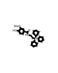 COc1cc(C(=O)NCC[PH](c2ccccc2)(c2ccccc2)c2ccccc2)ccc1O